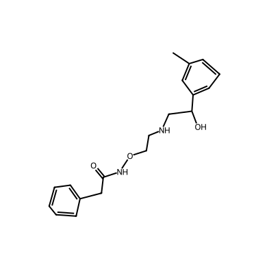 Cc1cccc(C(O)CNCCONC(=O)Cc2ccccc2)c1